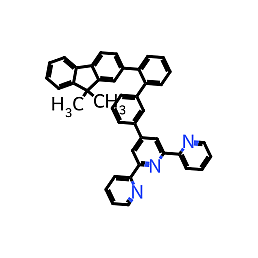 CC1(C)c2ccccc2-c2ccc(-c3ccccc3-c3cccc(-c4cc(-c5ccccn5)nc(-c5ccccn5)c4)c3)cc21